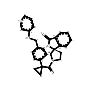 O=C1O[C@]2(CCN(C(=O)C3(c4ccc(COc5cccnc5)cc4)CC3)C2)c2ccccc21